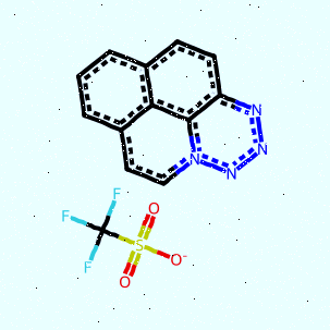 O=S(=O)([O-])C(F)(F)F.c1cc2ccc3nnn[n+]4ccc(c1)c2c34